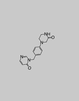 O=C1CN(c2ccc(Cn3cnccc3=O)cc2)CCN1